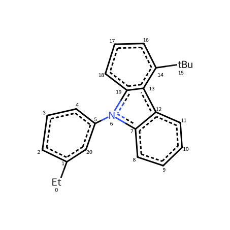 CCc1cccc(-n2c3ccccc3c3c(C(C)(C)C)cccc32)c1